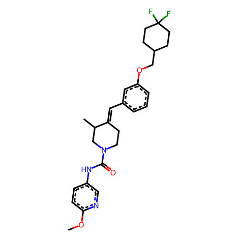 COc1ccc(NC(=O)N2CCC(=Cc3cccc(OCC4CCC(F)(F)CC4)c3)C(C)C2)cn1